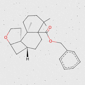 CC1(C)CCC[C@@]2(C)C1(C(=O)OCc1ccccc1)CC[C@@H]1CC3OCC[C@@]312